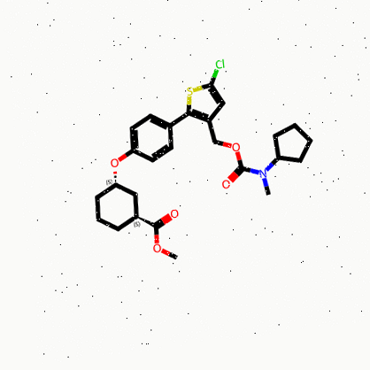 COC(=O)[C@H]1CCC[C@H](Oc2ccc(-c3sc(Cl)cc3COC(=O)N(C)C3CCCC3)cc2)C1